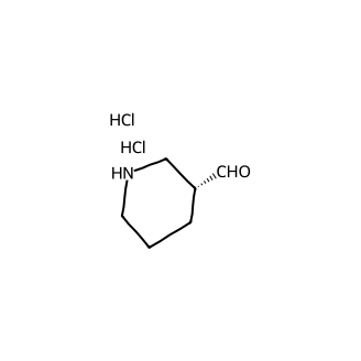 Cl.Cl.O=C[C@@H]1CCCNC1